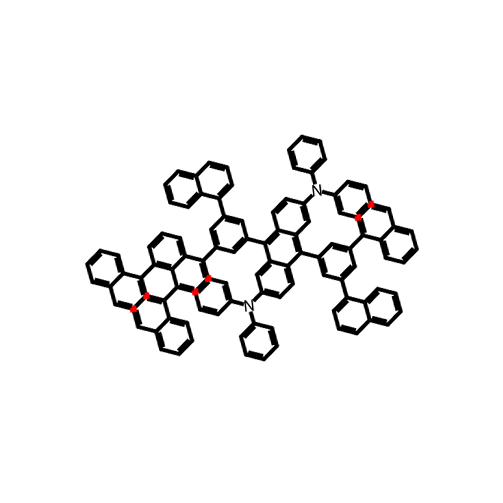 c1ccc(N(c2ccccc2)c2ccc3c(-c4cc(-c5cccc6ccccc56)cc(-c5ccc(-c6cccc7ccccc67)c6c(-c7cccc8ccccc78)cccc56)c4)c4cc(N(c5ccccc5)c5ccccc5)ccc4c(-c4cc(-c5cccc6ccccc56)cc(-c5cccc6ccccc56)c4)c3c2)cc1